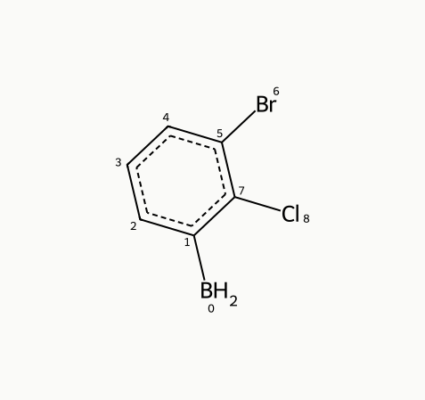 Bc1cccc(Br)c1Cl